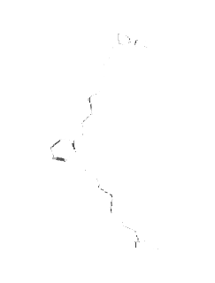 CCCCCCCCCCCCCCCCCCCc1[c]cccc1CCCCCCCCCCCCCCCCCCC